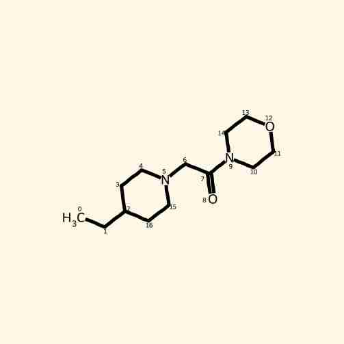 CCC1CCN(CC(=O)N2CCOCC2)CC1